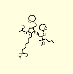 CCCCC(C)(OC)C(/C=C/[C@@H]1[C@@H](CCCCCCC(=O)OC)[C@@H](OC(C)=O)C[C@H]1OC1CCCCO1)OC1CCCCO1